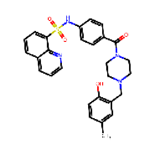 Cc1ccc(O)c(CN2CCN(C(=O)c3ccc(NS(=O)(=O)c4cccc5cccnc45)cc3)CC2)c1